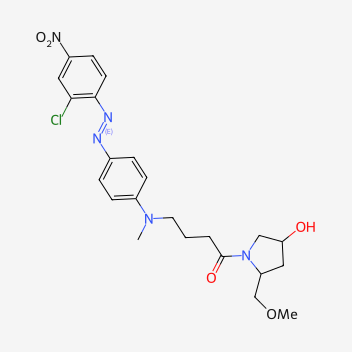 COCC1CC(O)CN1C(=O)CCCN(C)c1ccc(/N=N/c2ccc([N+](=O)[O-])cc2Cl)cc1